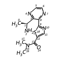 C[C@H](N)c1nccnc1-c1ncc(C(=O)N(C)C)s1